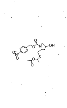 CC(=O)OC(C)SCC1CC(O)CN1C(=O)OCc1ccc([N+](=O)[O-])cc1